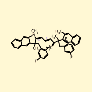 C=C(/C=C/C=C1/N(C)c2cc3ccccc3cc2C1(C)Cc1cc(F)ccc1F)C(C)(Cc1cc(F)ccc1F)c1cc2ccccc2cc1C